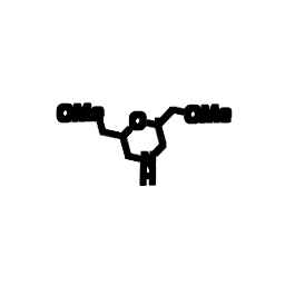 COC[C]1CNCC(COC)O1